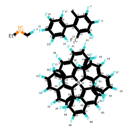 CC[PH2+]CF.Cc1c(F)c(F)c(F)c(C(F)(F)F)c1-c1c(F)c(F)c(F)c(F)c1F.Fc1cc2c([B-](c3c(F)c(F)c(F)c4c(F)c(F)c(F)cc34)(c3c(F)c(F)c(F)c4c(F)c(F)c(F)cc34)c3c(F)c(F)c(F)c4c(F)c(F)c(F)cc34)c(F)c(F)c(F)c2c(F)c1F